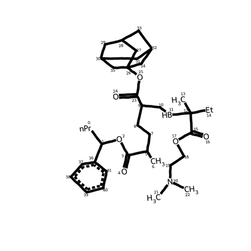 CCCC(OC(=O)C(C)CCC(CBC(C)(CC)C(=O)OCCN(C)C)C(=O)OC12CC3CC(CC(C3)C1)C2)c1ccccc1